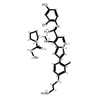 CCc1cc(O)ccc1/N=C(\N)c1cnn2cc(-c3ccc(OCCNC(C)=O)cc3C)cc2c1NC[C@H]1CCCN1C(=O)OC(C)(C)C